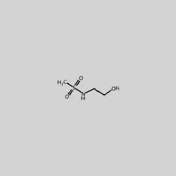 CS(=O)(=O)NC[CH]O